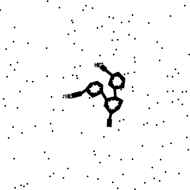 [C]#Cc1[c]c(-c2cccc(C#C)c2)c(-c2cccc(C#C)c2)cc1